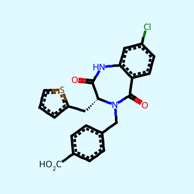 O=C(O)c1ccc(CN2C(=O)c3ccc(Cl)cc3NC(=O)[C@H]2Cc2cccs2)cc1